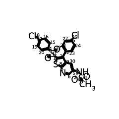 CS(=O)(=O)Nc1cnc2sc(S(=O)(=O)c3ccc(Cl)cc3)c(-c3ccc(Cl)cc3)c2c1